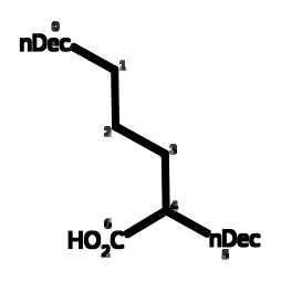 CCCCCCCCCCCCCC(CCCCCCCCCC)C(=O)O